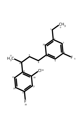 CCc1cc(F)cc(CCC(C)c2ccc(F)cc2Cl)c1